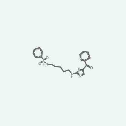 O=C(c1ccccn1)c1cnc(NCCCCCNS(=O)(=O)c2ccccc2)s1